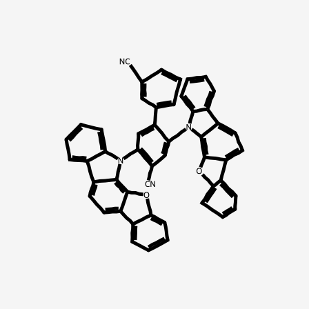 N#Cc1cccc(-c2cc(-n3c4ccccc4c4ccc5c6ccccc6oc5c43)c(C#N)cc2-n2c3ccccc3c3ccc4c5ccccc5oc4c32)c1